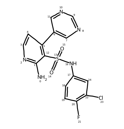 Nc1nccc(-c2cncnc2)c1S(=O)(=O)Nc1ccc(F)c(Cl)c1